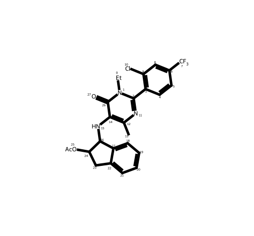 CCn1c(-c2ccc(C(F)(F)F)cc2Cl)nc(C)c(NC2c3ccccc3CC2OC(C)=O)c1=O